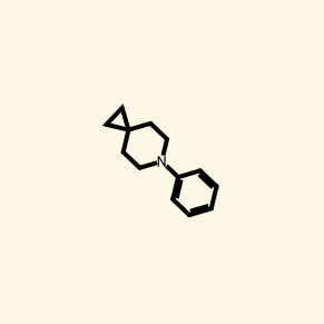 c1ccc(N2CCC3(CC2)CC3)cc1